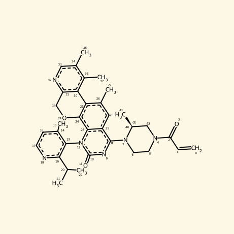 C=CC(=O)N1CCN(c2nc(=O)n(-c3c(C)ccnc3C(C)C)c3c4c(c(C)cc23)-c2c(ncc(C)c2C)CO4)[C@@H](C)C1